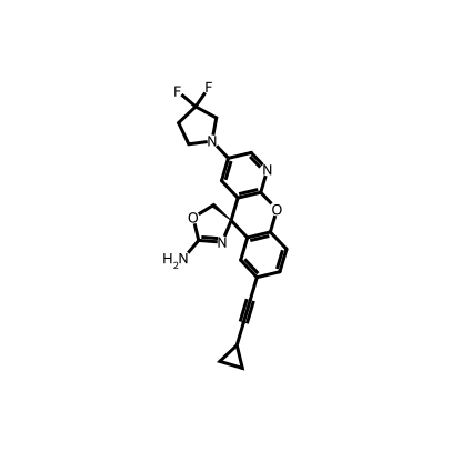 NC1=N[C@@]2(CO1)c1cc(C#CC3CC3)ccc1Oc1ncc(N3CCC(F)(F)C3)cc12